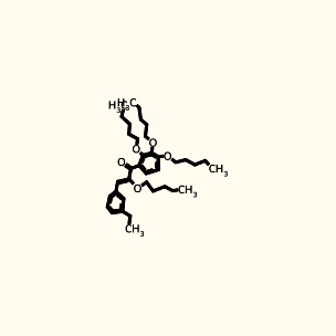 CCCCCOC(=Cc1cccc(CC)c1)C(=O)c1ccc(OCCCCC)c(OCCCCC)c1OCCCCC